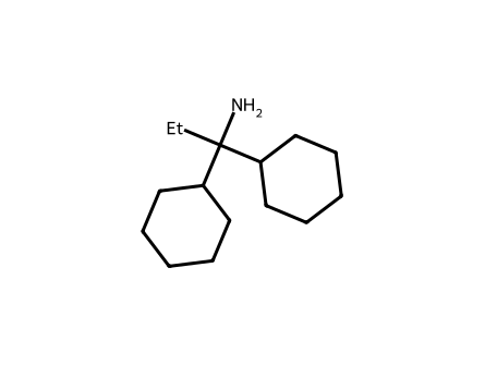 CCC(N)(C1CCCCC1)C1CCCCC1